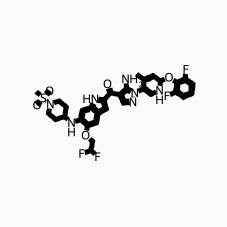 CC1=CC(Oc2c(F)cccc2F)NC=C1n1ncc(C(=O)c2cc3cc(OCC(F)F)c(NC4CCN(S(C)(=O)=O)CC4)cc3[nH]2)c1N